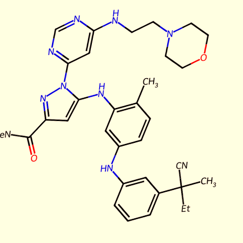 CCC(C)(C#N)c1cccc(Nc2ccc(C)c(Nc3cc(C(=O)NC)nn3-c3cc(NCCN4CCOCC4)ncn3)c2)c1